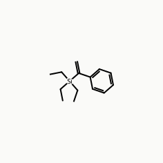 C=C(c1ccccc1)[Si](CC)(CC)CC